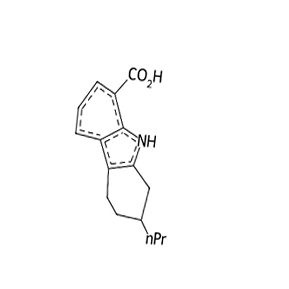 CCCC1CCc2c([nH]c3c(C(=O)O)cccc23)C1